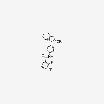 O=C(Nc1ccc(C2C(C(F)(F)F)C=C3CCCCN32)cc1)c1cccc(F)c1F